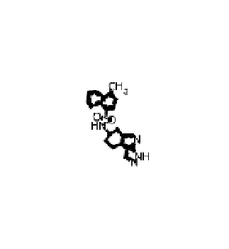 Cc1ccc(S(=O)(=O)NC2CCc3c(cnc4[nH]ncc34)C2)c2ccccc12